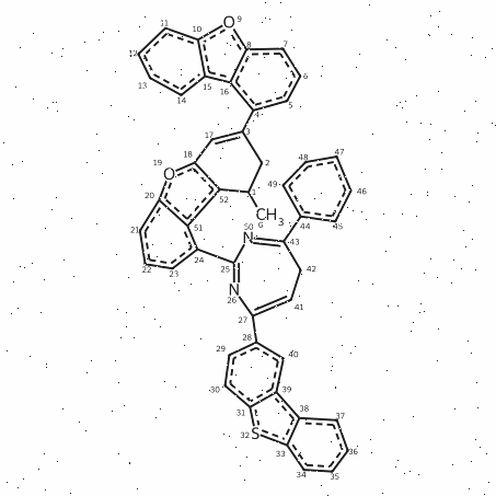 CC1CC(c2cccc3oc4ccccc4c23)=Cc2oc3cccc(C4=NC(c5ccc6sc7ccccc7c6c5)=CCC(c5ccccc5)=N4)c3c21